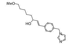 COCCCCCC(O)/C=C/c1ccc(Cn2ccnc2)cc1